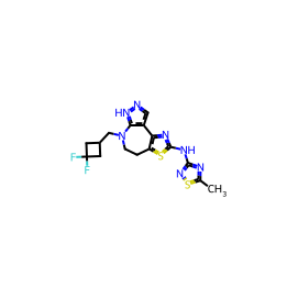 Cc1nc(Nc2nc3c(s2)CCN(CC2CC(F)(F)C2)c2[nH]ncc2-3)ns1